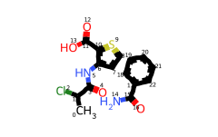 CC(Cl)C(=O)Nc1ccsc1C(=O)O.NC(=O)c1ccccc1